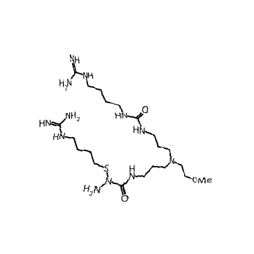 COCCN(CCCNC(=O)NCCCCNC(=N)N)CCCNC(=O)N(N)SCCCCNC(=N)N